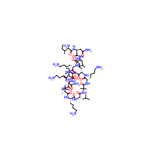 CC[C@H](C)[C@H](N)C(=O)N[C@@H](CC(N)=O)C(=O)N[C@@H](CC(C)C)C(=O)N[C@@H](CCCCN)C(=O)N[C@@H](CCCCN)C(=O)N[C@@H](CC(C)C)C(=O)N[C@@H](C)C(=O)N[C@@H](CCCCN)C(=O)N[C@@H](CC(C)C)C(=O)NC(C)(C)C(=O)N[C@@H](CCCCN)C(=O)N[C@@H](CCCCN)C(=O)N[C@H](C(=O)N[C@@H](CC(C)C)C(N)=O)[C@@H](C)CC